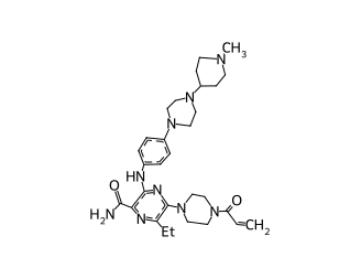 C=CC(=O)N1CCN(c2nc(Nc3ccc(N4CCN(C5CCN(C)CC5)CC4)cc3)c(C(N)=O)nc2CC)CC1